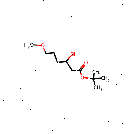 COCCCC(O)CC(=O)OC(C)(C)C